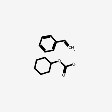 C=Cc1ccccc1.[O]C(=O)OC1CCCCC1